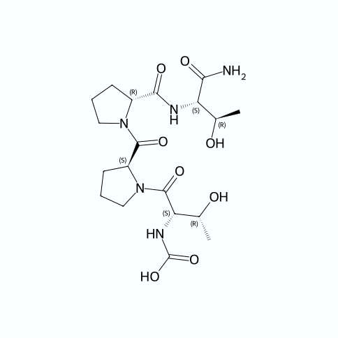 C[C@@H](O)[C@H](NC(=O)[C@H]1CCCN1C(=O)[C@@H]1CCCN1C(=O)[C@@H](NC(=O)O)[C@@H](C)O)C(N)=O